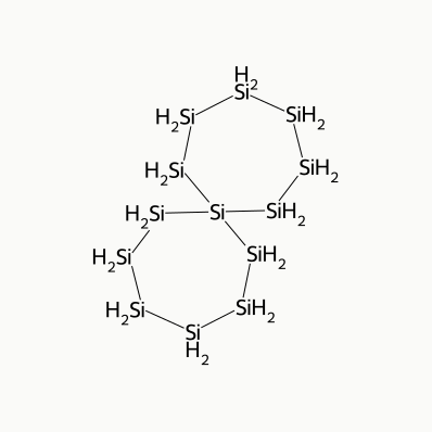 [SiH2]1[SiH2][SiH2][SiH2][Si]2([SiH2][SiH2]1)[SiH2][SiH2][SiH2][SiH2][SiH2][SiH2]2